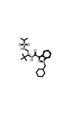 CC(C)S(=O)(=O)NC[C@@H](NC(=O)c1nn(CC2CCCCC2)c2ccccc12)C(C)(C)C